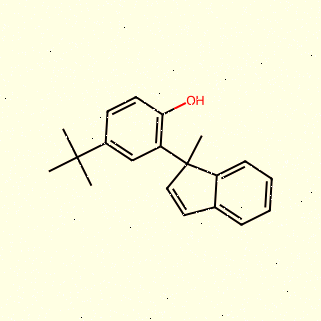 CC(C)(C)c1ccc(O)c(C2(C)C=Cc3ccccc32)c1